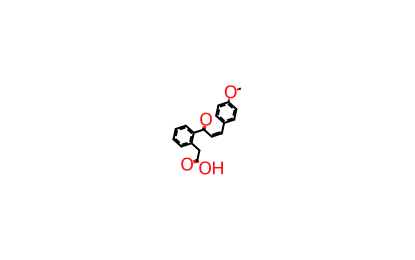 COc1ccc(/C=C\C(=O)c2ccccc2CC(=O)O)cc1